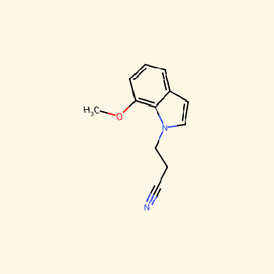 COc1cccc2ccn(CCC#N)c12